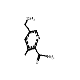 Cc1cc(CN)cnc1C(N)=O